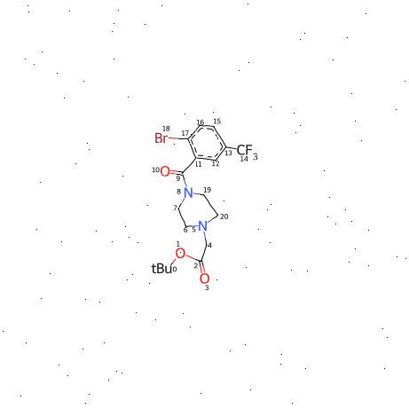 CC(C)(C)OC(=O)CN1CCN(C(=O)c2cc(C(F)(F)F)ccc2Br)CC1